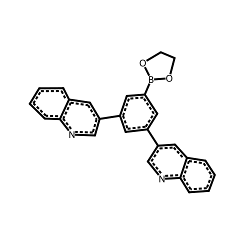 c1ccc2ncc(-c3cc(B4OCCO4)cc(-c4cnc5ccccc5c4)c3)cc2c1